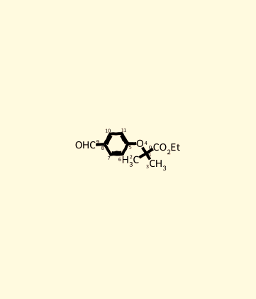 CCOC(=O)C(C)(C)Oc1ccc(C=O)cc1